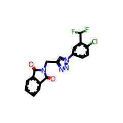 O=C1c2ccccc2C(=O)N1Cc1cn(-c2ccc(Cl)c(C(F)F)c2)nn1